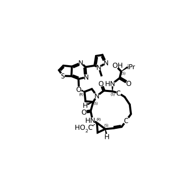 CC(C)[C@H](O)C(=O)N[C@H]1CCCCCC=C[C@@H]2C[C@@]2(C(=O)O)NC(=O)[C@@H]2C[C@@H](Oc3nc(-c4ccnn4C)nc4ccsc34)CN2C1=O